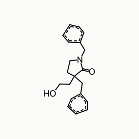 O=C1N(Cc2ccccc2)CCC1(CCO)Cc1ccccc1